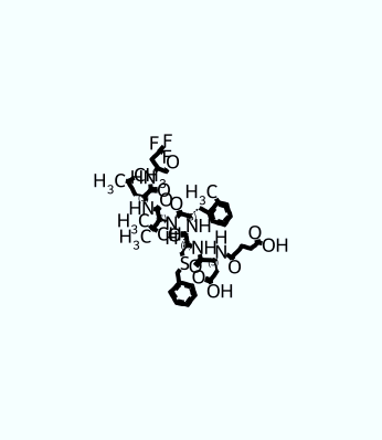 Cc1ccccc1C[C@H](NC(=O)[C@H](CSCc1ccccc1)NC(=O)[C@H](CC(=O)O)NC(=O)CCC(=O)O)C(=O)N[C@H](C(=O)N[C@@H](CC(C)C)C(=O)NC(C=O)CC(F)(F)F)C(C)(C)C